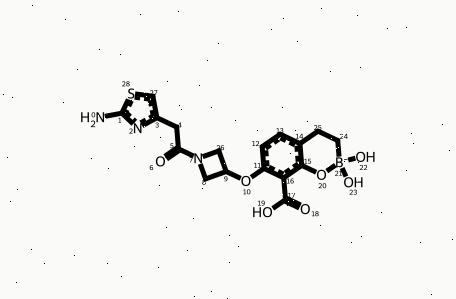 Nc1nc(CC(=O)N2CC(Oc3ccc4c(c3C(=O)O)O[B-](O)(O)CC4)C2)cs1